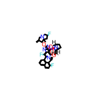 C#Cc1c(F)ccc2cccc(-c3nc4c5c(nc(OCC67CC(=C)CN6CC(F)C7)nc5c3F)N3C[C@H]5CC[C@@H]([C@H]3[C@H](C)O4)N5C(=O)OC(C)(C)C)c12